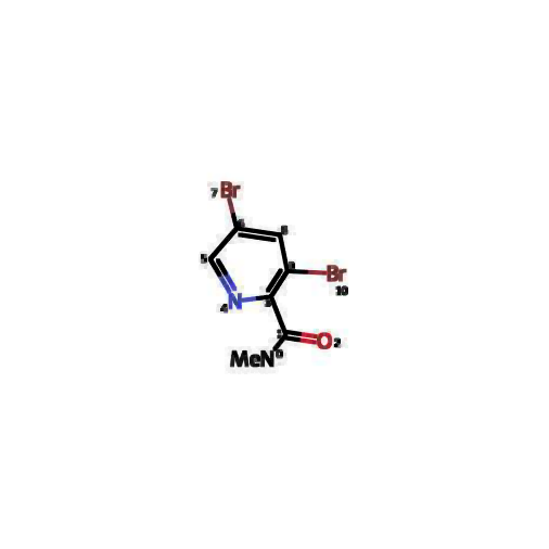 CNC(=O)c1ncc(Br)cc1Br